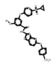 CC(C)Oc1cc(Oc2ccc(S(=O)(=O)C3CC3)nc2)cc(C(=O)Nc2nc3ccc(Oc4ccc(C(=O)O)cc4)nc3s2)c1